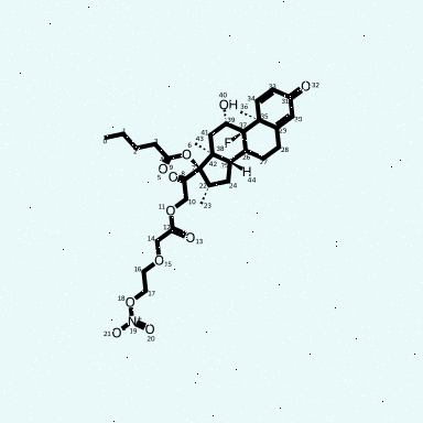 CCCCC(=O)O[C@]1(C(=O)COC(=O)COCCO[N+](=O)[O-])[C@@H](C)C[C@H]2C3CCC4=CC(=O)C=C[C@]4(C)[C@@]3(F)[C@@H](O)C[C@@]21C